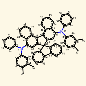 Cc1ccc(N(c2ccccc2)c2cc3c(c4ccccc24)-c2c(cc(N(c4ccccc4)c4ccc(C)c(C)c4)c4ccccc24)C32c3ccccc3-c3ccccc32)cc1C